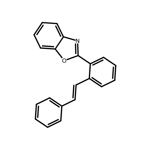 C(=C\c1ccccc1-c1nc2ccccc2o1)/c1ccccc1